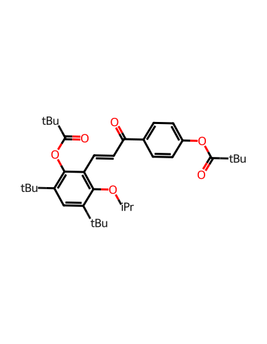 CC(C)Oc1c(C(C)(C)C)cc(C(C)(C)C)c(OC(=O)C(C)(C)C)c1C=CC(=O)c1ccc(OC(=O)C(C)(C)C)cc1